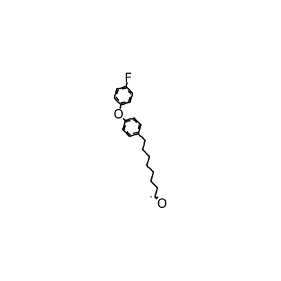 O=[C]CCCCCCCc1ccc(Oc2ccc(F)cc2)cc1